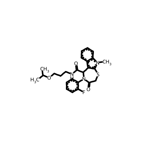 CC(C)OCCCNC(=O)C1c2c(n(C)c3ccccc23)SCC(=O)N1c1ccccc1F